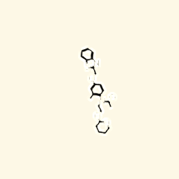 CC(=O)N(CCOC1CCCCO1)c1ccc(OCc2nc3ccccc3s2)cc1C